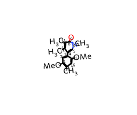 COc1cc(-c2cn(C)c(=O)c(C)c2C)c(OC)cc1C